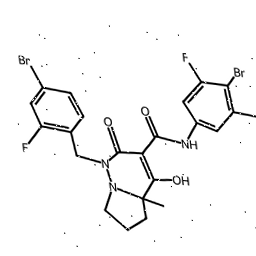 CC12CCCN1N(Cc1ccc(Br)cc1F)C(=O)C(C(=O)Nc1cc(F)c(Br)c(F)c1)=C2O